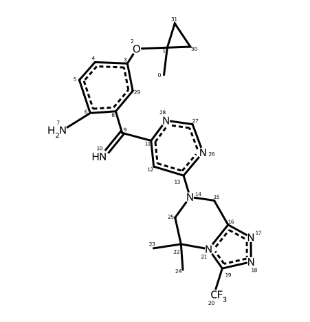 CC1(Oc2ccc(N)c(C(=N)c3cc(N4Cc5nnc(C(F)(F)F)n5C(C)(C)C4)ncn3)c2)CC1